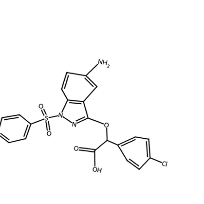 Cc1ccc(S(=O)(=O)n2nc(OC(C(=O)O)c3ccc(Cl)cc3)c3cc(N)ccc32)cc1